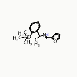 CC(/N=C/c1ccco1)c1ccccc1O[Si](C)(C)C